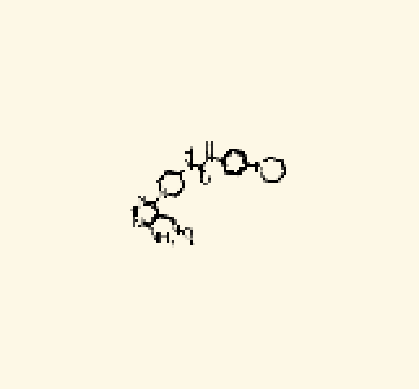 CON=Cc1c(N)ncnc1N1CCC(NC(=O)Nc2ccc(N3CCCCC3)cc2)CC1